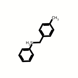 Cc1ccc(C[SiH2]c2cc[c]cc2)cc1